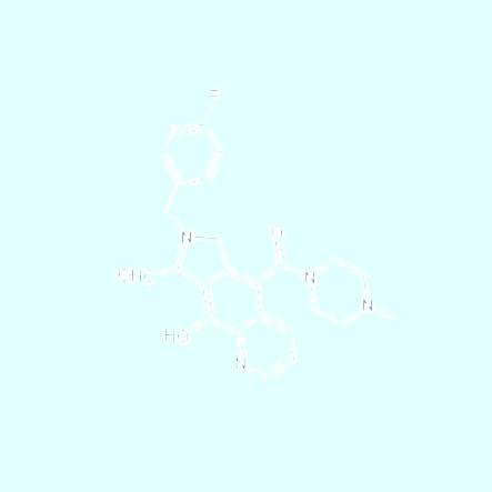 CN1CCN(C(=O)c2c3c(c(O)c4ncccc24)C(C=O)N(Cc2ccc(F)cc2)C3)CC1